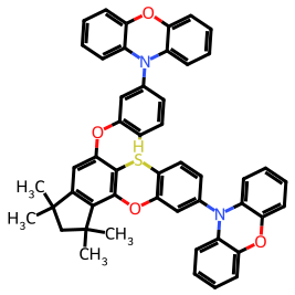 CC1(C)CC(C)(C)c2c1cc1c3c2Oc2cc(N4c5ccccc5Oc5ccccc54)ccc2[SH]3c2ccc(N3c4ccccc4Oc4ccccc43)cc2O1